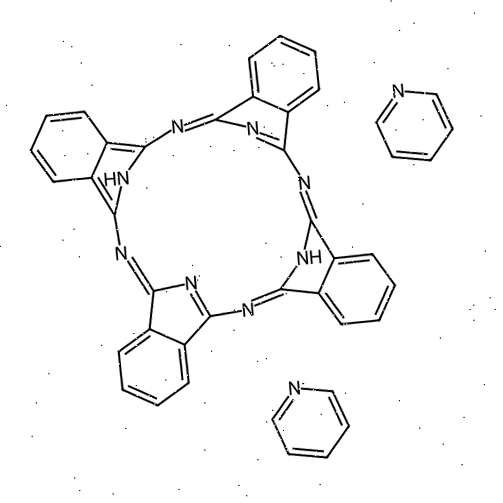 c1ccc2c(c1)-c1nc-2nc2[nH]c(nc3nc(nc4[nH]c(n1)c1ccccc41)-c1ccccc1-3)c1ccccc21.c1ccncc1.c1ccncc1